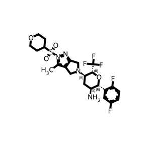 Cc1c2c(nn1S(=O)(=O)C1CCOCC1)CN([C@@H]1C[C@H](N)[C@@H](c3cc(F)ccc3F)O[C@H]1C(F)(F)F)C2